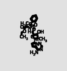 CCOC(=O)[C@H](C)NP(=O)(OCC1=C(O)[C@H](C)[C@H](c2ccc3c(N)ncnn23)O1)Oc1ccccc1